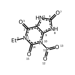 CCn1c(=O)c2[nH]c(=O)[nH]c2n(P(=O)=O)c1=O